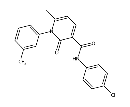 Cc1ccc(C(=O)Nc2ccc(Cl)cc2)c(=O)n1-c1cccc(C(F)(F)F)c1